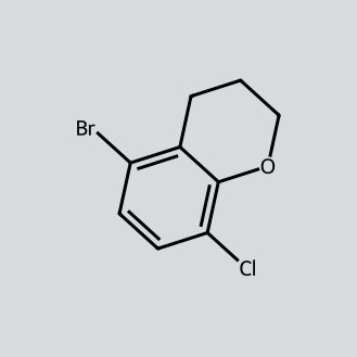 Clc1ccc(Br)c2c1OCCC2